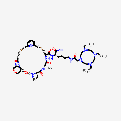 CC[C@H](C)[C@@H]1NC(=O)[C@H](CC(C)C)NCOCC2(CCOCC2)NC(=O)CCSCc2cccc(n2)CSCC(C(=O)N[C@@H](CCCCNC(=O)CN2CCN(CC(=O)O)CCN(CC(=O)O)CCN(CC(=O)O)CC2)C(N)=O)NC1=O